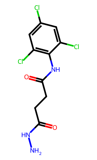 NNC(=O)CCC(=O)Nc1c(Cl)cc(Cl)cc1Cl